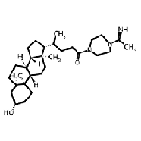 CC(=N)N1CCN(C(=O)CCC(C)[C@H]2CC[C@H]3[C@@H]4CCC5C[C@@H](O)CC[C@]5(C)[C@H]4CC[C@]23C)CC1